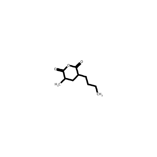 CCCCC1CC(C)C(=O)OC1=O